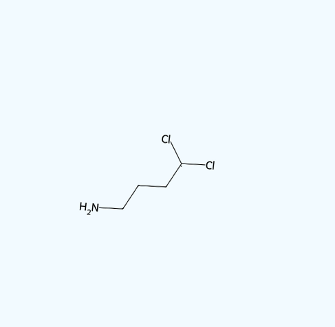 NCCC[C](Cl)Cl